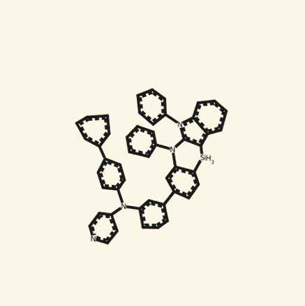 c1ccc(-c2ccc(N(c3ccncc3)c3cccc(-c4ccc5c(c4)N(c4ccccc4)c4c(c6ccccc6n4-c4ccccc4)[SiH2]5)c3)cc2)cc1